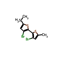 C[SiH2]c1cc(Br)c(-c2sc(C)cc2Br)s1